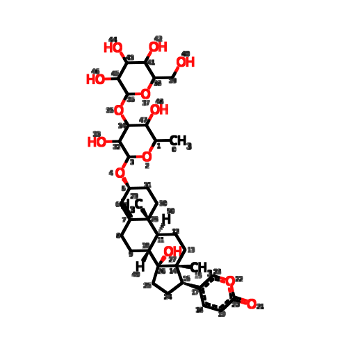 CC1OC(O[C@@H]2C=C3CC[C@@H]4[C@H](CC[C@]5(C)[C@@H](c6ccc(=O)oc6)CC[C@]45O)[C@@]3(C)CC2)C(O)C(OC2OC(CO)C(O)C(O)C2O)C1O